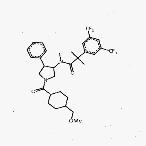 COCC1CCC(C(=O)N2CC(c3ccccc3)C(N(C)C(=O)C(C)(C)c3cc(C(F)(F)F)cc(C(F)(F)F)c3)C2)CC1